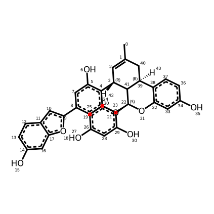 CC1=C[C@H]2c3c(O)cc(-c4cc5ccc(O)cc5o4)cc3O[C@@]3(c4ccc(O)cc4O)Oc4cc(O)ccc4[C@H](C1)C23